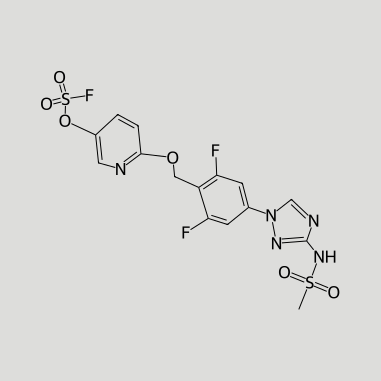 CS(=O)(=O)Nc1ncn(-c2cc(F)c(COc3ccc(OS(=O)(=O)F)cn3)c(F)c2)n1